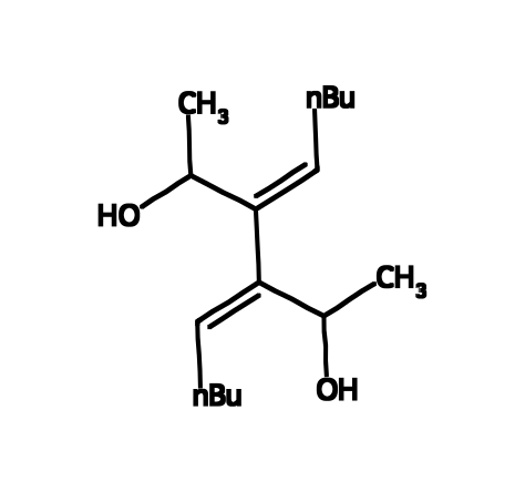 CCCCC=C(C(=CCCCC)C(C)O)C(C)O